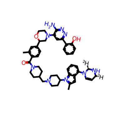 [2H]C1C=CN(c2cccc3c2cc(C)n3C2CCN(CC3CCN(C(=O)c4ccc(C5CN(c6cc(-c7ccccc7O)nnc6N)CCO5)cc4C)CC3)CC2)[C@@H]([2H])N1